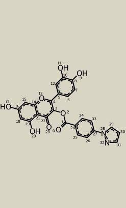 O=C(Oc1c(-c2ccc(O)c(O)c2)oc2cc(O)cc(O)c2c1=O)c1ccc(-n2cccn2)cc1